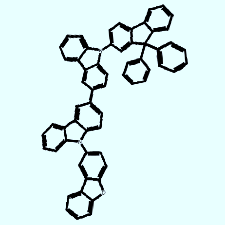 c1ccc(C2(c3ccccc3)c3ccccc3-c3ccc(-n4c5ccccc5c5cc(-c6ccc7c(c6)c6ccccc6n7-c6ccc7oc8ccccc8c7c6)ccc54)cc32)cc1